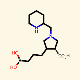 O=C(O)[C@@H]1CN(CC2CCCCN2)CC1CCCB(O)O